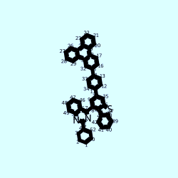 C1=CCCC(c2nc(-c3cc(-c4ccc(-c5ccc6c7ccccc7c7ccccc7c6c5)cc4)cc4sc5ccccc5c34)c3ccccc3n2)=C1